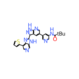 CC(C)(C)C(=O)Nc1cncc(-c2cnc3[nH]nc(-c4nc5c(-c6cccs6)cncc5[nH]4)c3c2)c1